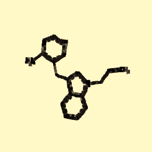 C=CCn1cc(Cc2ccccc2N)c2ccccc21